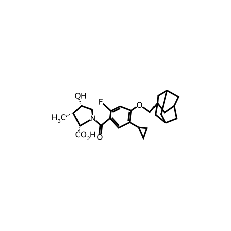 C[C@@H]1[C@H](O)CN(C(=O)c2cc(C3CC3)c(OCC34CC5CC(CC(C5)C3)C4)cc2F)[C@@H]1C(=O)O